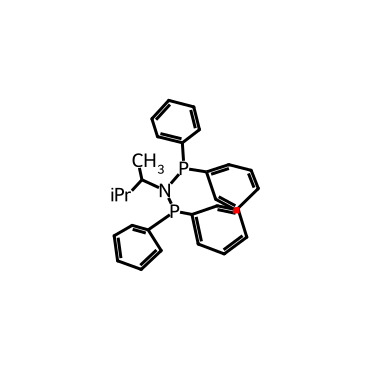 CC(C)C(C)N(P(c1ccccc1)c1ccccc1)P(c1ccccc1)c1ccccc1